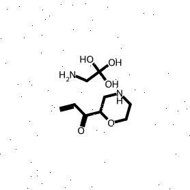 C=CC(=O)C1CNCCO1.NCC(O)(O)O